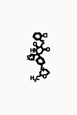 CC1CN(c2ccc(C3(c4ccsc4)CC(=O)C(Sc4ccccc4Cl)C(=O)N3)cc2)CCO1